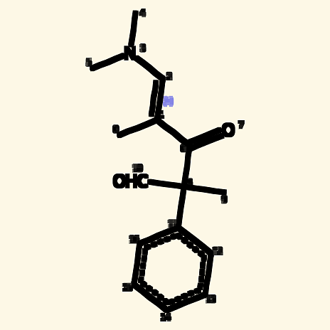 C/C(=C\N(C)C)C(=O)C(C)(C=O)c1ccccc1